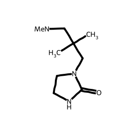 CNCC(C)(C)CN1CCNC1=O